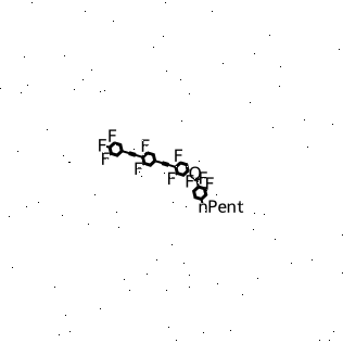 CCCCCc1ccc(C(F)(F)Oc2cc(F)c(C#Cc3cc(F)c(C#Cc4cc(F)c(F)c(F)c4)c(F)c3)c(F)c2)c(F)c1